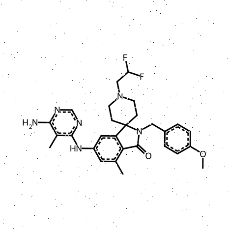 COc1ccc(CN2C(=O)c3c(C)cc(Nc4ncnc(N)c4C)cc3C23CCN(CC(F)F)CC3)cc1